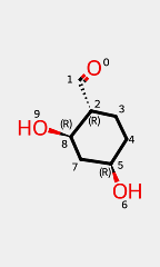 O=C[C@@H]1CC[C@@H](O)C[C@H]1O